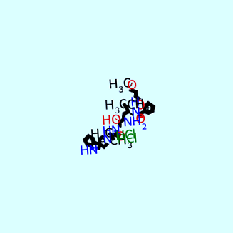 COCCCCOc1ccccc1C(=O)NC[C@@H](C[C@H](N)[C@@H](O)CNC(=O)C(C)(C)N1CCC2(CC1)CNc1ccccc12)C(C)C.Cl.Cl